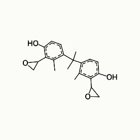 Cc1c(C(C)(C)c2ccc(O)c(C3CO3)c2C)ccc(O)c1C1CO1